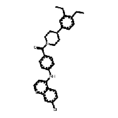 CCc1ccc(C2CCN(C(=O)c3ccc(Nc4ccnc5cc(Cl)ccc45)cc3)CC2)cc1CC